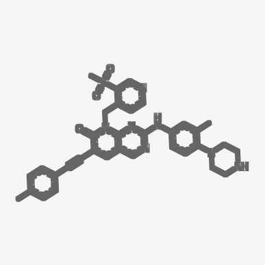 Cc1ccc(C#Cc2cc3cnc(Nc4ccc(N5CCNCC5)c(C)c4)nc3n(Cc3ccncc3S(C)(=O)=O)c2=O)cc1